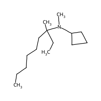 CCCCCCC(C)(CC)N(C)C1CCC1